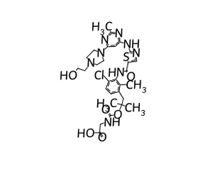 Cc1nc(Nc2ncc(C(=O)Nc3c(Cl)ccc(CC(C)(C)OC(=O)NCC(=O)O)c3C)s2)cc(N2CCN(CCO)CC2)n1